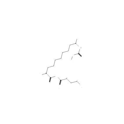 CCC(CCCCCCCC(C)C(=O)OC(=O)CCCC(=O)O)NC(=O)OC(C)(C)C